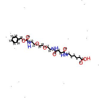 O=C(O)CCCCCNC(=O)CCC(=O)NCCOCCOCCNC(=O)OCc1ccccc1